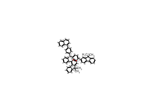 CC1(C)c2ccccc2-c2ccc(-c3ccc(N(c4ccc(-c5cccc6ccccc56)cc4)c4ccccc4-c4cccc5c4-c4ccccc4C5(C)C)cc3)cc21